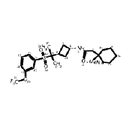 CNC1(CC(=O)N[C@H]2C[C@H](C(C)(C)S(=O)(=O)c3cccc(OC(F)(F)F)c3)C2)CCCCC1